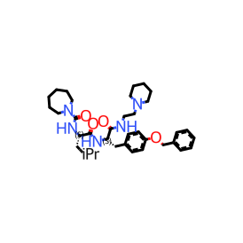 CC(C)C[C@H](NC(=O)N1CCCCCC1)C(=O)N[C@@H](Cc1ccc(OCc2ccccc2)cc1)C(=O)NCCN1CCCCC1